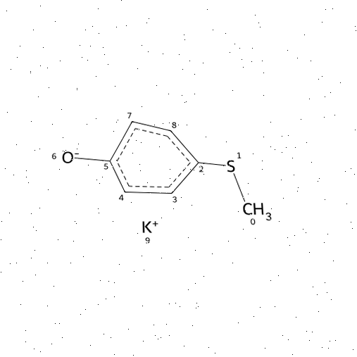 CSc1ccc([O-])cc1.[K+]